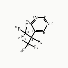 FC(F)(F)C(F)(c1[c]ncnc1)C(F)(F)F